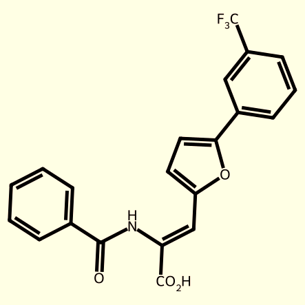 O=C(O)/C(=C/c1ccc(-c2cccc(C(F)(F)F)c2)o1)NC(=O)c1ccccc1